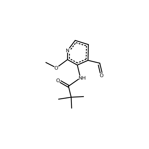 COc1nccc(C=O)c1NC(=O)C(C)(C)C